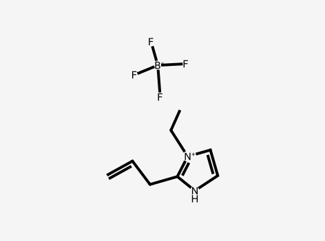 C=CCc1[nH]cc[n+]1CC.F[B-](F)(F)F